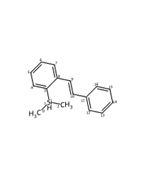 C[SiH](C)c1ccccc1C=Cc1ccccc1